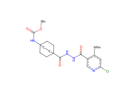 CNc1cc(Cl)ncc1C(=O)NNC(=O)C12CCC(NC(=O)OC(C)(C)C)(CC1)CC2